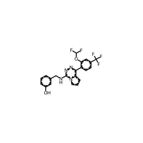 Oc1cccc(CNc2nnc(-c3ccc(C(F)(F)F)cc3OC(F)F)c3cccn23)c1